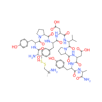 CC(NC(=O)C(Cc1ccc(O)cc1)NC(=O)C(CC(=O)O)NC(=O)C1CCCN1C(=O)C(NC(=O)C(CC(=O)O)NC(=O)C(Cc1ccc(O)cc1)NC(=O)C1CCCN1C(=O)C(Cc1ccc(O)cc1)NC(=O)C(N)CSSC[C@@H](C)N)C(C)C)C(N)=O